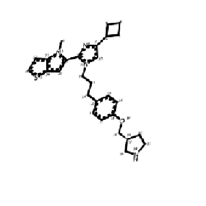 Cn1c(-c2nc(C3CCC3)cn2CCCc2ccc(OC[C@H]3CCNC3)cc2)cc2sccc21